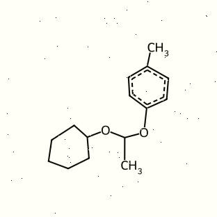 Cc1ccc(OC(C)OC2CCCCC2)cc1